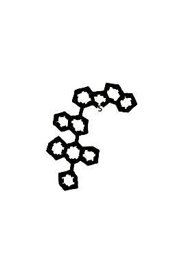 c1ccc(-c2c3ccccc3c(-c3ccc(-c4cccc5c4sc4c6ccccc6ccc54)c4ccccc34)c3ccccc23)cc1